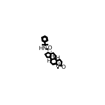 CN1C(=O)CC[C@@]2(C)C1=CC[C@H]1[C@@H]3CC[C@H](C(=O)NC(C)(C)c4ccccc4)[C@@]3(C)CC[C@@H]12